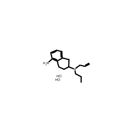 C=CCN(CCC)C1CCc2c(N)cccc2C1.Cl.Cl